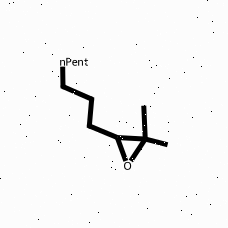 CCCCCCCCC1OC1(C)C